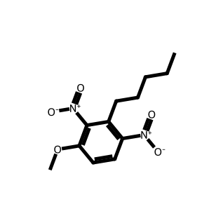 CCCCCc1c([N+](=O)[O-])ccc(OC)c1[N+](=O)[O-]